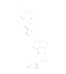 CC1(CN2CC[C@H](n3cc(Cc4ccc5c6c(cccc46)C(=O)N5C4CCC(=O)NC4O)cn3)C(F)(F)C2)CCC1